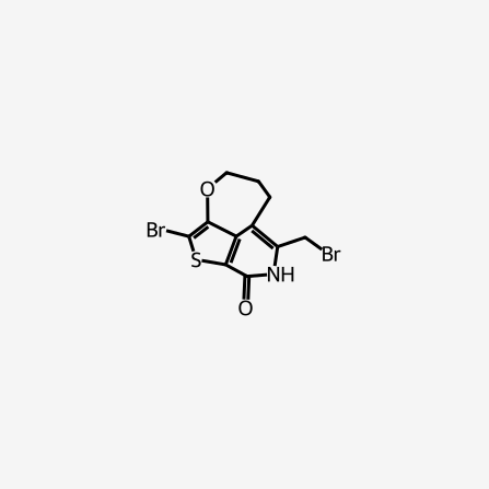 O=c1[nH]c(CBr)c2c3c(c(Br)sc13)OCCC2